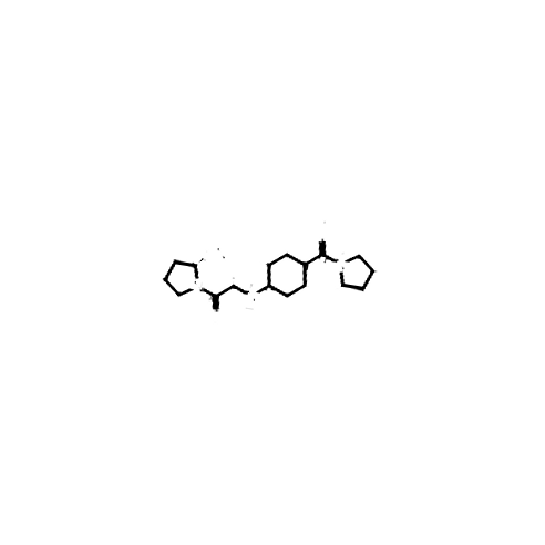 N#C[C@@H]1CCCN1C(=O)CNC1CCC(C(=O)N2CCCC2)CC1